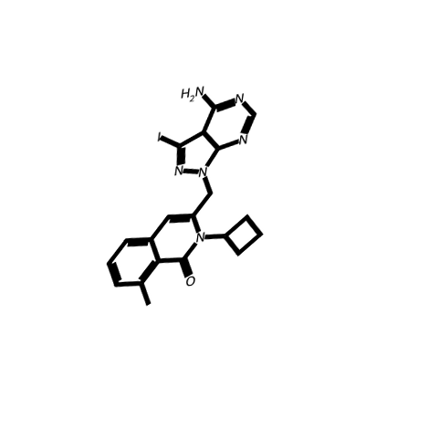 Cc1cccc2cc(CN3N=C(I)C4C(N)=NC=NC43)n(C3CCC3)c(=O)c12